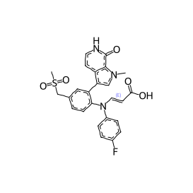 Cn1cc(-c2cc(CS(C)(=O)=O)ccc2N(/C=C/C(=O)O)c2ccc(F)cc2)c2cc[nH]c(=O)c21